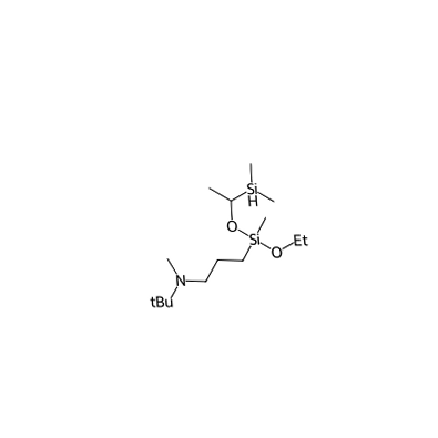 CCO[Si](C)(CCCN(C)C(C)(C)C)OC(C)[SiH](C)C